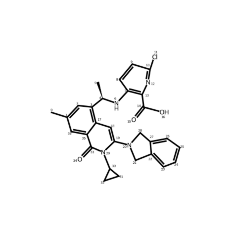 Cc1cc([C@@H](C)Nc2ccc(Cl)nc2C(=O)O)c2cc(N3Cc4ccccc4C3)n(C3CC3)c(=O)c2c1